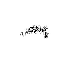 CC(C)Oc1ccc(Cl)c(S(=O)(=O)NC(=O)c2nc(Cl)n(CCC(F)(F)F)c2Cl)c1